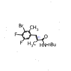 CCCCNC(=O)/C(C)=C/c1cc(F)c(F)c(Br)c1C